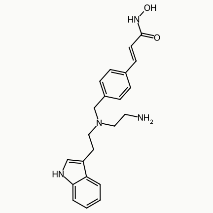 NCCN(CCc1c[nH]c2ccccc12)Cc1ccc(/C=C/C(=O)NO)cc1